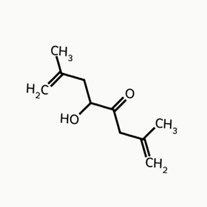 C=C(C)CC(=O)C(O)CC(=C)C